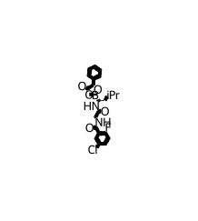 CC(C)C[C@H](NC(=O)CNC(=O)c1cc(Cl)ccc1F)B1OC(=O)C(c2ccccc2)O1